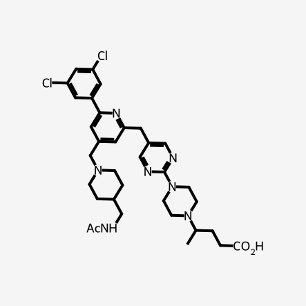 CC(=O)NCC1CCN(Cc2cc(Cc3cnc(N4CCN(C(C)CCC(=O)O)CC4)nc3)nc(-c3cc(Cl)cc(Cl)c3)c2)CC1